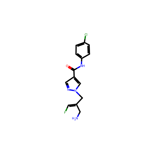 NCC(=CF)Cn1cc(C(=O)Nc2ccc(Cl)cc2)cn1